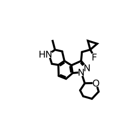 CC1Cc2c(ccc3c2c(CC2(F)CC2)nn3C2CCCCO2)CN1